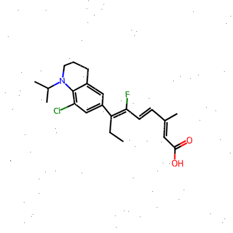 CCC(=C(F)C=CC(C)=CC(=O)O)c1cc(Cl)c2c(c1)CCCN2C(C)C